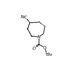 CC(C)(C)OC(=O)N1CCCC(C#N)CC1